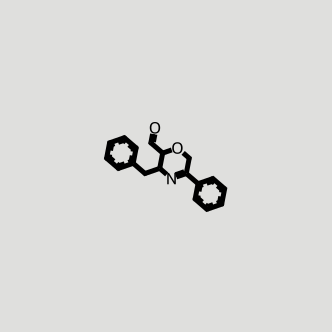 O=CC1OCC(c2ccccc2)=NC1Cc1ccccc1